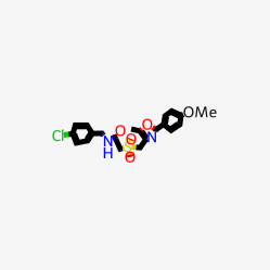 COc1ccc(-c2nc(CS(=O)(=O)CC(=O)NCc3ccc(Cl)cc3)c(C)o2)cc1